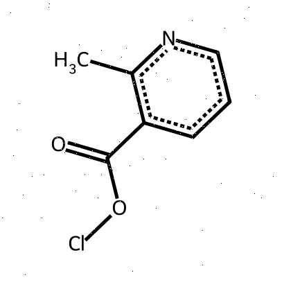 Cc1ncccc1C(=O)OCl